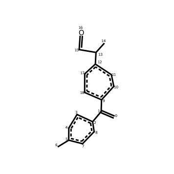 C=C(c1ccc(C)cc1)c1ccc(C(C)C=O)cc1